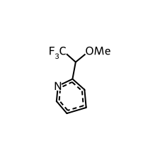 COC(c1ccccn1)C(F)(F)F